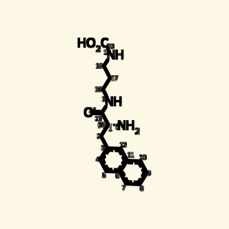 N[C@H](Cc1ccc2ccccc2c1)C(=O)NCCCNC(=O)O